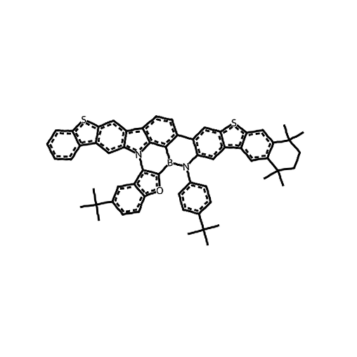 CC(C)(C)c1ccc(N2B3c4oc5ccc(C(C)(C)C)cc5c4-n4c5cc6c(cc5c5ccc(c3c54)-c3cc4sc5cc7c(cc5c4cc32)C(C)(C)CCC7(C)C)sc2ccccc26)cc1